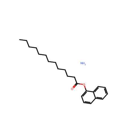 CCCCCCCCCCCCC(=O)Oc1cccc2ccccc12.N